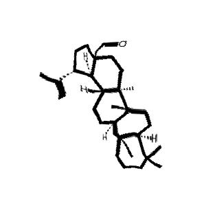 C=C(C)[C@@H]1CC[C@]2(C=O)CC[C@]3(C)[C@H](CC[C@@H]4[C@@]5(C)CCCC(C)(C)[C@@H]5CC[C@]43C)[C@@H]12